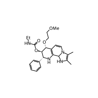 CCNC(=O)O[C@H]1[C@H](OCCOC)C2=C(N[C@@H]1c1ccccc1)C1NC(C)=C(C)N1C=C2